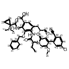 CCC(C(=O)Nc1c(CCC=O)cc(C(=O)O)c(NC(=O)C2(N(C)C)CC2)c1OCc1ccccc1)n1cc(OC)c(-c2cc(Cl)ccc2C#N)cc1=O